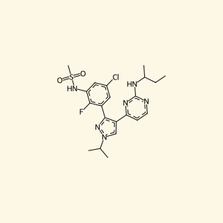 CCC(C)Nc1nccc(-c2cn(C(C)C)nc2-c2cc(Cl)cc(NS(C)(=O)=O)c2F)n1